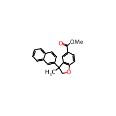 COC(=O)c1ccc2c(c1)C(C)(c1ccc3ccccc3c1)CO2